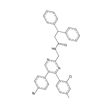 O=C(CC(c1ccccc1)c1ccccc1)NCc1ncc(-c2ccc(Br)cc2)c(-c2ccc(Cl)cc2Cl)n1